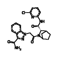 NC(=O)c1nn(CC(=O)N2C3CCC(C3)[C@H]2C(=O)Nc2cccc(Cl)n2)c2ccccc12